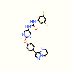 O=C(Nc1cnc(Oc2ccc(-c3cnn4cccnc34)cc2)nc1)Nc1cc(F)cc(F)c1